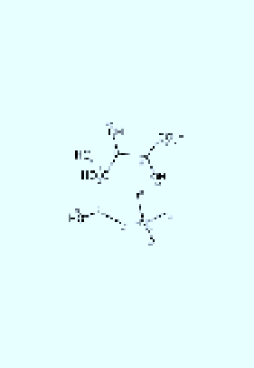 C[N+](C)(C)CCO.Cl.O=C(O)C(O)C(O)C(=O)O